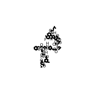 CC[C@@]1(OC(=O)N(C)C[C@@H]2CCCN2C(=O)OCc2ccc(NC(=O)CNC(=O)[C@H](Cc3ccccc3)NC(=O)CNC(=O)CNC(=O)c3cc(C)cc(N4C(=O)CC(SC)C4=O)c3)cc2)C(=O)OCc2c1cc1n(c2=O)Cc2c-1nc1cc(F)c(C)c3c1c2[C@@H](NC(=O)CCC(C)C)CC3